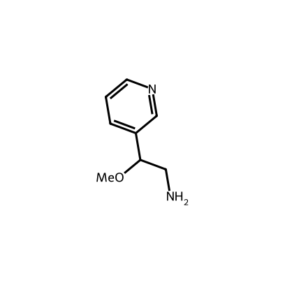 COC(CN)c1cccnc1